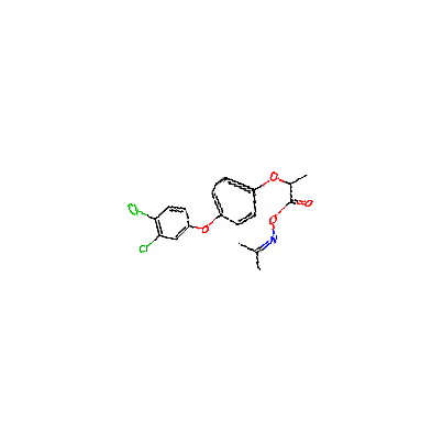 CC(C)=NOC(=O)C(C)Oc1ccc(Oc2ccc(Cl)c(Cl)c2)cc1